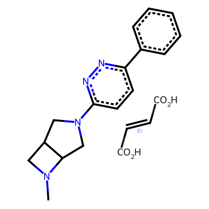 CN1CC2CN(c3ccc(-c4ccccc4)nn3)CC21.O=C(O)/C=C/C(=O)O